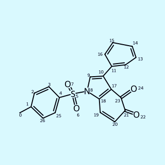 Cc1ccc(S(=O)(=O)n2cc(-c3ccccc3)c3c2C=CC(=O)C3=O)cc1